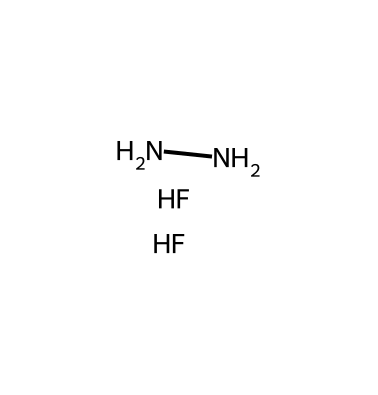 F.F.NN